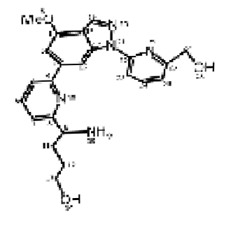 COc1cc(-c2cccc(C(N)CCCO)n2)cc2c1cnn2-c1cccc(CO)n1